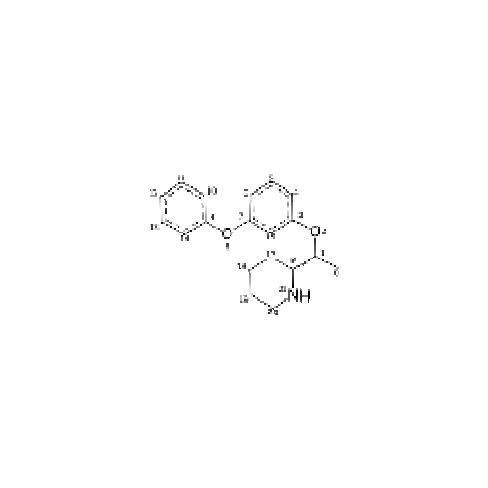 CC(Oc1cccc(Oc2ccccc2)c1)C1CCCCN1